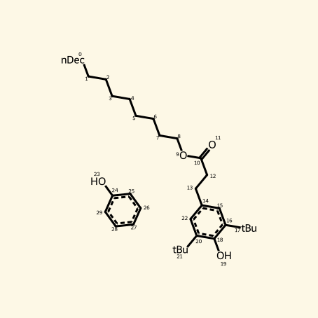 CCCCCCCCCCCCCCCCCCOC(=O)CCc1cc(C(C)(C)C)c(O)c(C(C)(C)C)c1.Oc1ccccc1